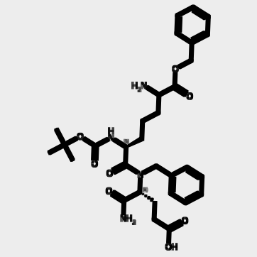 CC(C)(C)OC(=O)N[C@@H](CCCC(N)C(=O)OCc1ccccc1)C(=O)N(Cc1ccccc1)[C@H](CCC(=O)O)C(N)=O